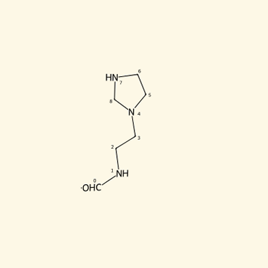 O=[C]NCCN1CCNC1